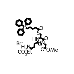 CCOC(=O)C(N)CCC(=O)NC(CSC(=O)CCCC[P+](c1ccccc1)(c1ccccc1)c1ccccc1)C(=O)NCC(=O)OC.[Br-]